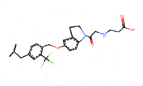 CC(C)Cc1ccc(COc2ccc3c(c2)CCN3C(=O)CNCCC(=O)O)c(C(F)(F)F)c1